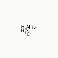 [AlH3].[Er].[La].[SiH4]